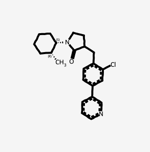 C[C@@H]1CCCC[C@@H]1N1CCC(Cc2ccc(-c3cccnc3)cc2Cl)C1=O